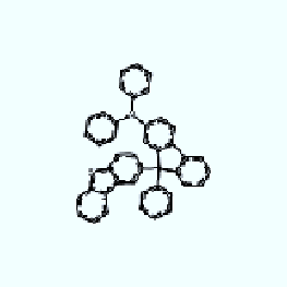 c1ccc(N(c2ccccc2)c2ccc3c(c2)C(c2ccccc2)(c2ccc4sc5ccccc5c4c2)c2ccccc2-3)cc1